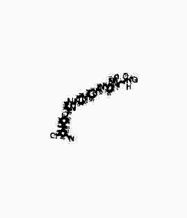 CC(CCC(=O)NC=O)n1c(=O)n(C)c2c(CN3CC(N4CCC(N5CCN(c6nccc(COc7ccc(C(C)(C)c8cc(Cl)cc(C#N)c8)cc7)n6)CC5)CC4)C3)cccc21